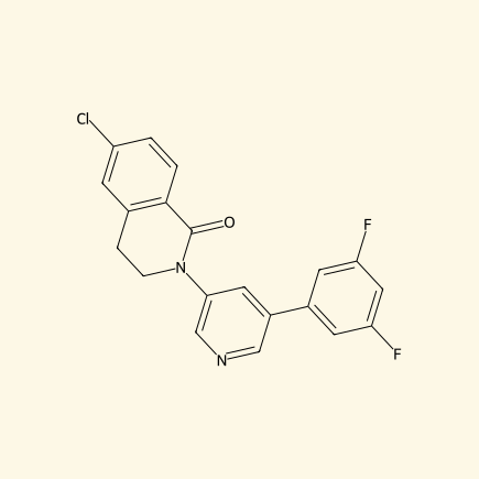 O=C1c2ccc(Cl)cc2CCN1c1cncc(-c2cc(F)cc(F)c2)c1